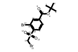 CC(C)(C)OC(=O)c1ccc(S(=O)(=O)CBr)c(Br)c1